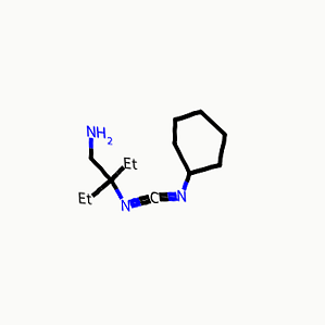 CCC(CC)(CN)N=C=NC1CCCCC1